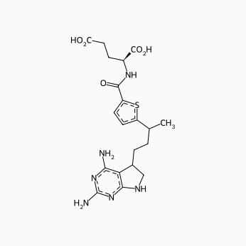 CC(CCC1CNc2nc(N)nc(N)c21)c1ccc(C(=O)N[C@@H](CCC(=O)O)C(=O)O)s1